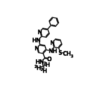 [2H]C([2H])([2H])NC(=O)c1cnc(Nc2ccc(-c3ccccc3)cn2)cc1Nc1ncccc1SC